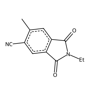 CCN1C(=O)c2cc(C)c(C#N)cc2C1=O